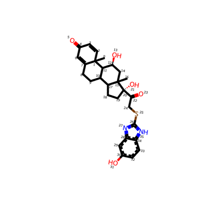 CC12C=CC(=O)C=C1CCC1C2[C@@H](O)CC2(C)C1CC[C@]2(O)C(=O)CSc1nc2cc(O)ccc2[nH]1